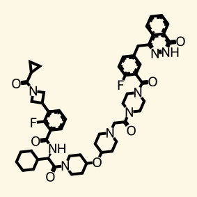 O=C(N[C@@H](C(=O)N1CCC(OC2CCN(CC(=O)N3CCN(C(=O)c4cc(Cc5n[nH]c(=O)c6ccccc56)ccc4F)CC3)CC2)CC1)C1CCCCC1)c1cccc(C2CN(C(=O)C3CC3)C2)c1F